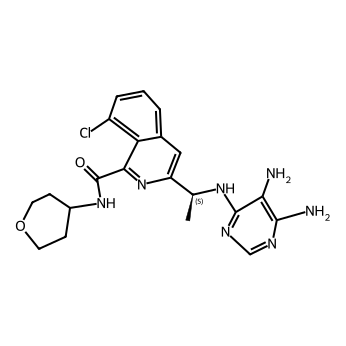 C[C@H](Nc1ncnc(N)c1N)c1cc2cccc(Cl)c2c(C(=O)NC2CCOCC2)n1